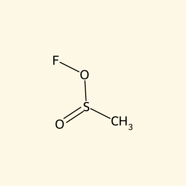 CS(=O)OF